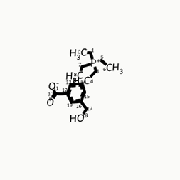 CC[P+](CC)(CC)CC.O=C([O-])c1cccc(CO)c1